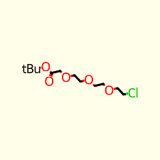 CC(C)(C)OC(=O)COCCOCCOCCCl